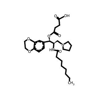 CCCCCCCC(=O)N[C@H](CN1CCCC1)[C@H](OC(=O)CCC(=O)O)c1ccc2c(c1)OCCO2